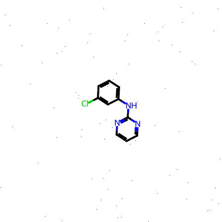 Clc1cccc(Nc2ncccn2)c1